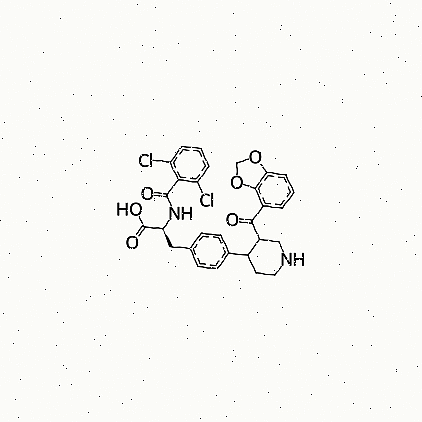 O=C(N[C@@H](Cc1ccc(C2CCNCC2C(=O)c2cccc3c2OCO3)cc1)C(=O)O)c1c(Cl)cccc1Cl